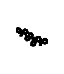 c1ccc2c(c1)sc1c3c(ccc12)-c1ccc(-n2c4ccccc4c4c5sc6ccccc6c5ccc42)c2cccc-3c12